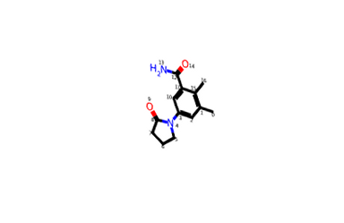 Cc1cc(N2CCCC2=O)cc(C(N)=O)c1C